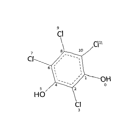 Oc1c(Cl)c(O)c(Cl)c(Cl)c1Cl